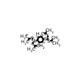 C=C(C)[S][Sb]([S]C(=C)C)[c]1cc[c]([Sb]([S]C(=C)C)[S]C(=C)C)cc1